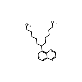 CCCCCCC(CCCCCC)c1cccc2nccnc12